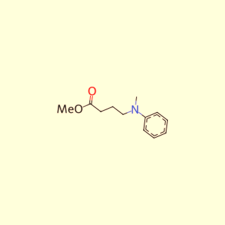 COC(=O)CCCN(C)c1ccccc1